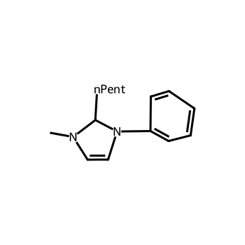 CCCCCC1N(C)C=CN1c1ccccc1